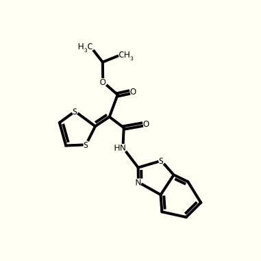 CC(C)OC(=O)C(C(=O)Nc1nc2ccccc2s1)=C1SC=CS1